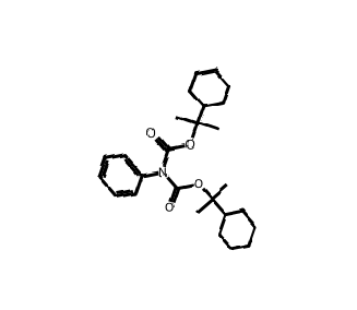 CC(C)(OC(=O)N(C(=O)OC(C)(C)C1CCCCC1)c1ccccc1)C1CCCCC1